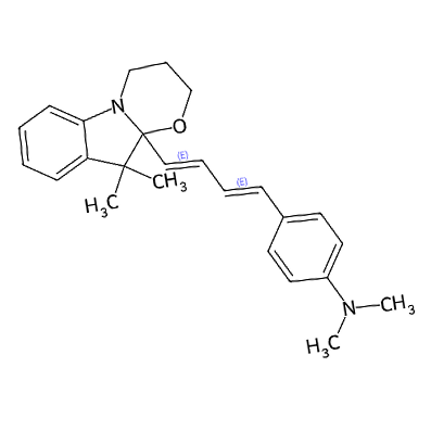 CN(C)c1ccc(/C=C/C=C/C23OCCCN2c2ccccc2C3(C)C)cc1